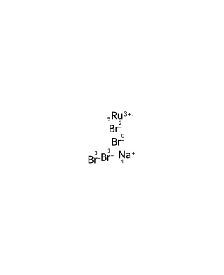 [Br-].[Br-].[Br-].[Br-].[Na+].[Ru+3]